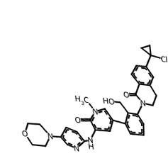 Cn1cc(-c2cccc(N3CCc4cc(C5(Cl)CC5)ccc4C3=O)c2CO)cc(Nc2ccc(N3CCOCC3)cn2)c1=O